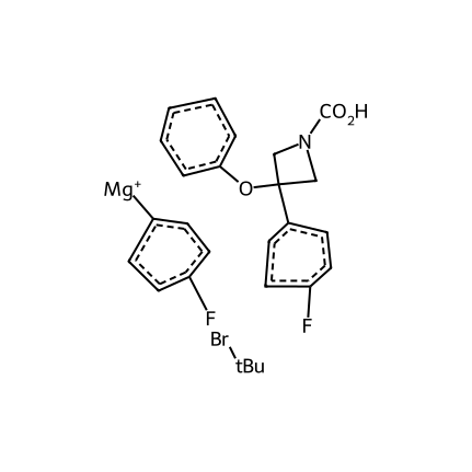 CC(C)(C)Br.Fc1cc[c]([Mg+])cc1.O=C(O)N1CC(Oc2ccccc2)(c2ccc(F)cc2)C1